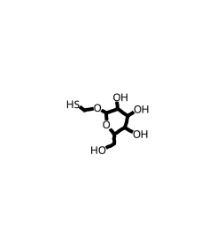 OCC1OC(OCS)C(O)C(O)C1O